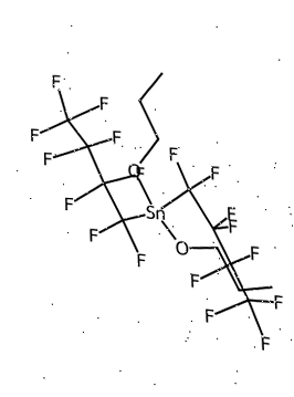 CCC[O][Sn]([O]CCC)([C](F)(F)C(F)(F)C(F)(F)C(F)(F)F)[C](F)(F)C(F)(F)C(F)(F)C(F)(F)F